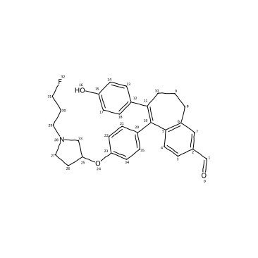 O=Cc1ccc2c(c1)CCCC(c1ccc(O)cc1)=C2c1ccc(OC2CCN(CCCF)C2)cc1